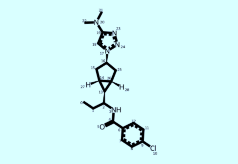 CCC(NC(=O)c1ccc(Cl)cc1)[C@H]1[C@@H]2C[C@@H](n3cc(N(C)C)nn3)C[C@@H]21